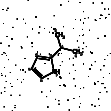 CC(C)c1[c]cc[nH]1